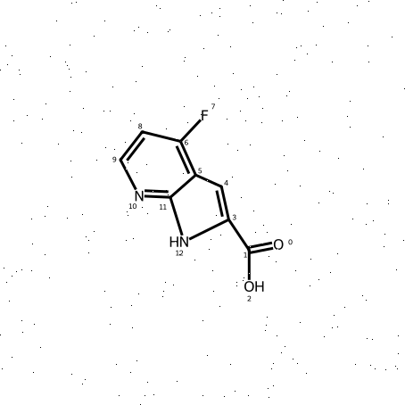 O=C(O)c1cc2c(F)ccnc2[nH]1